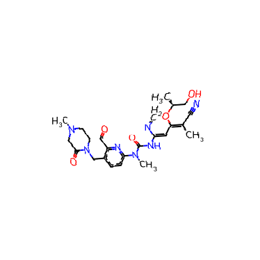 C=N/C(=C\C(O[C@@H](C)CO)=C(/C)C#N)NC(=O)N(C)c1ccc(CN2CCN(C)CC2=O)c(C=O)n1